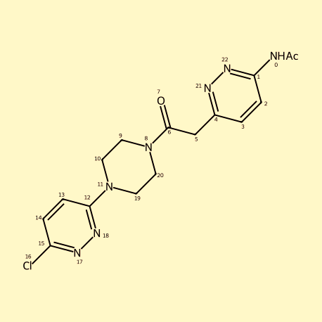 CC(=O)Nc1ccc(CC(=O)N2CCN(c3ccc(Cl)nn3)CC2)nn1